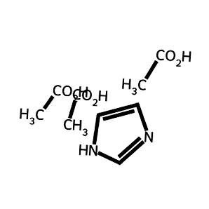 CC(=O)O.CC(=O)O.CC(=O)O.c1c[nH]cn1